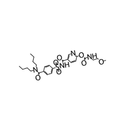 CCCCN(CCCC)C(=O)c1ccc(S(=O)(=O)NC(=O)c2ccc(OC(=O)NCCOC)nc2)cc1